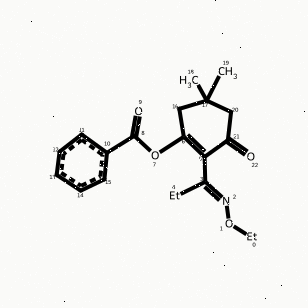 CCON=C(CC)C1=C(OC(=O)c2ccccc2)CC(C)(C)CC1=O